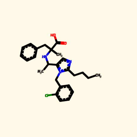 CCCCc1ncc(C(C)NC(C)(Cc2ccccc2)C(=O)O)n1Cc1ccccc1Cl